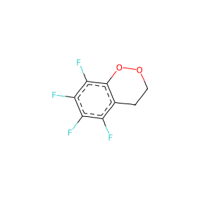 Fc1c(F)c(F)c2c(c1F)CCOO2